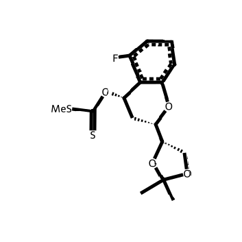 CSC(=S)O[C@H]1C[C@@H]([C@@H]2COC(C)(C)O2)Oc2cccc(F)c21